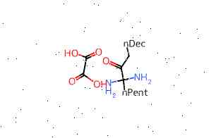 CCCCCCCCCCCC(=O)C(N)(N)CCCCC.O=C(O)C(=O)O